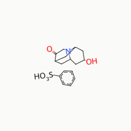 O=C1CN2C3CC(O)CC2CC1C3.O=S(=O)(O)c1ccccc1